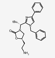 CC(C)(C)[C@H](c1nc(-c2ccccc2)cn1Cc1ccccc1)N1C[C@@H](CCN)OC1=O